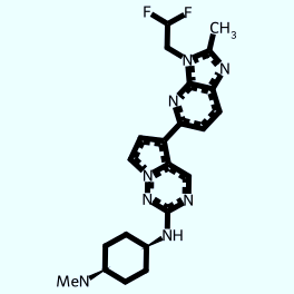 CN[C@H]1CC[C@@H](Nc2ncc3c(-c4ccc5nc(C)n(CC(F)F)c5n4)ccn3n2)CC1